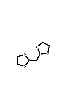 C1COP(CP2OCCO2)O1